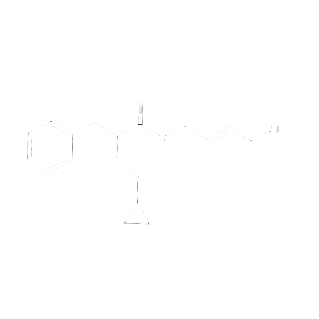 NC/C=C/CNC(=O)C(Cc1ccccc1)OCC1CC1